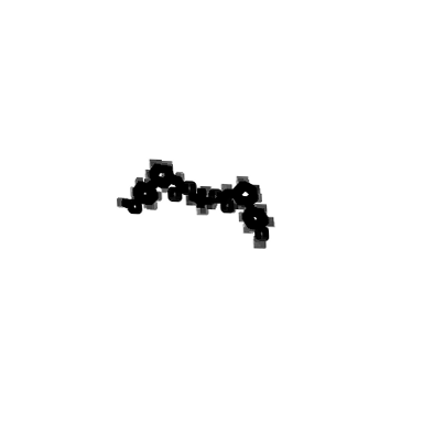 COc1ccc(C2=CC(=CC(=O)OCC(C)(C)COC(=O)C=C3C=C(c4ccc(OC)cc4)CCC3)CCC2)cc1